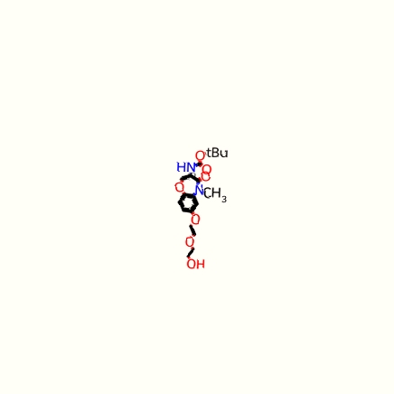 CN1C(=O)[C@@H](NC(=O)OC(C)(C)C)COc2ccc(OCCOCCO)cc21